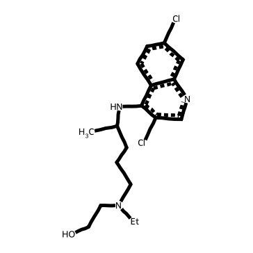 CCN(CCO)CCCC(C)Nc1c(Cl)cnc2cc(Cl)ccc12